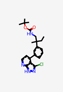 CCC(C)(CNC(=O)OC(C)(C)C)c1cccc(-c2ccnc3[nH]nc(Cl)c23)c1